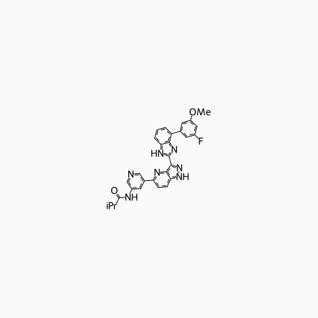 COc1cc(F)cc(-c2cccc3[nH]c(-c4n[nH]c5ccc(-c6cncc(NC(=O)C(C)C)c6)nc45)nc23)c1